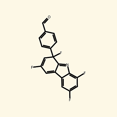 O=Cc1ccc(C2(F)C=C(F)C=C3C2=Nc2c(F)cc(F)cc23)cc1